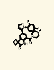 CN1CCN(C(=O)c2cc(-c3ccnn3-c3ccc(F)cc3F)cc3c2NC(=O)C32CCC2)CC1